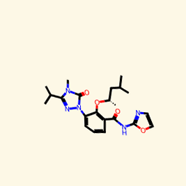 CC(C)C[C@H](C)Oc1c(C(=O)Nc2ncco2)cccc1-n1nc(C(C)C)n(C)c1=O